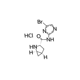 Cl.O=C(Nc1cncc(Br)n1)[C@@H]1C[C@H]2C[C@H]2N1